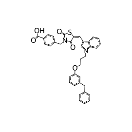 O=C(O)c1ccc(CN2C(=O)S/C(=C/c3cn(CCCOc4cccc(Cc5ccccc5)c4)c4ccccc34)C2=O)cc1